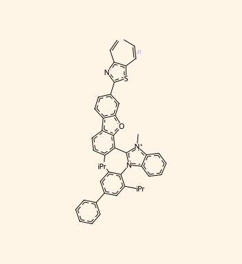 C=Cc1nc(-c2ccc3c(c2)oc2c(-c4n(-c5c(C(C)C)cc(-c6ccccc6)cc5C(C)C)c5ccccc5[n+]4C)c(C)ccc23)sc1/C=C\C